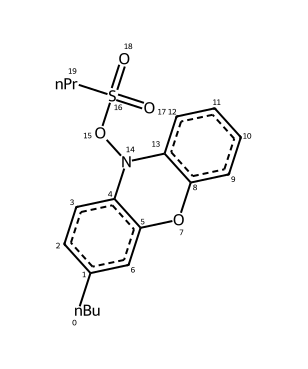 CCCCc1ccc2c(c1)Oc1ccccc1N2OS(=O)(=O)CCC